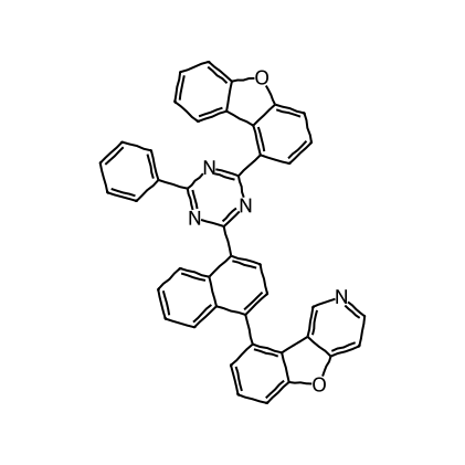 c1ccc(-c2nc(-c3ccc(-c4cccc5oc6ccncc6c45)c4ccccc34)nc(-c3cccc4oc5ccccc5c34)n2)cc1